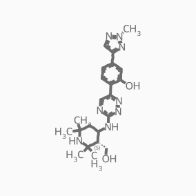 Cn1ncc(-c2ccc(-c3cnc(NC4CC(C)(C)NC(C)(C)[C@H]4CO)nn3)c(O)c2)n1